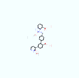 CCOc1nc2cccc(C(=O)O)c2n1Cc1ccc(-c2cc(-c3cccnc3OC)ccc2C(=O)O)cc1